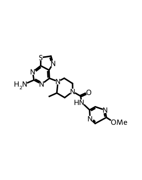 COc1cnc(NC(=O)N2CCN(c3nc(N)nc4scnc34)C(C)C2)cn1